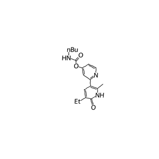 CCCCNC(=O)Oc1ccnc(-c2cc(CC)c(=O)[nH]c2C)c1